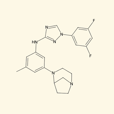 Cc1cc(Nc2ncn(-c3cc(F)cc(F)c3)n2)cc(N2CCN3CCC2C3)c1